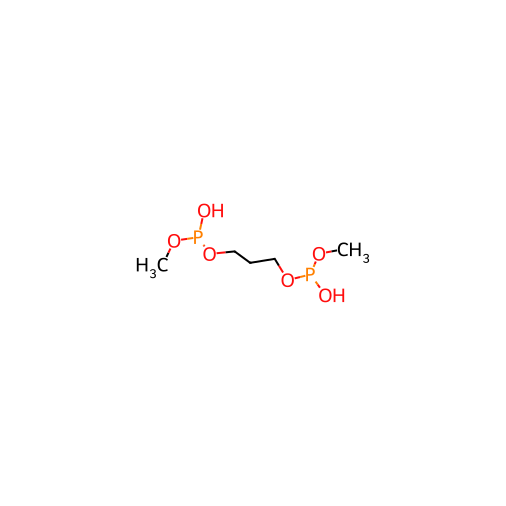 COP(O)OCCCOP(O)OC